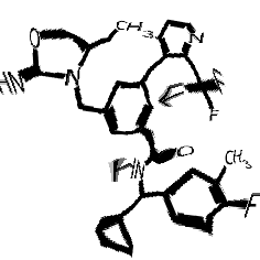 CCc1coc(=N)n1Cc1cc(C(=O)NC(c2ccc(F)c(C)c2)C2CC2)cc(-c2cccnc2C(F)(F)F)c1